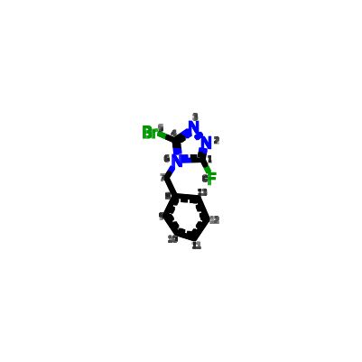 Fc1nnc(Br)n1Cc1ccccc1